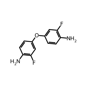 Nc1ccc(Oc2ccc(N)c(F)c2)cc1F